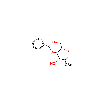 CC(=O)OC1COC2COC(c3ccccc3)OC2C1O